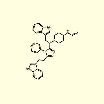 O=[C]NC1CCN([C@H](Cc2c[nH]c3ccccc23)c2nnc(CCc3c[nH]c4ccccc34)n2-c2ccccc2)CC1